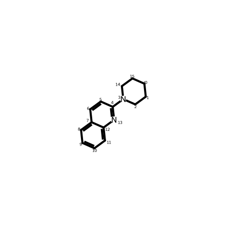 [CH]1CCN(c2ccc3ccccc3n2)CC1